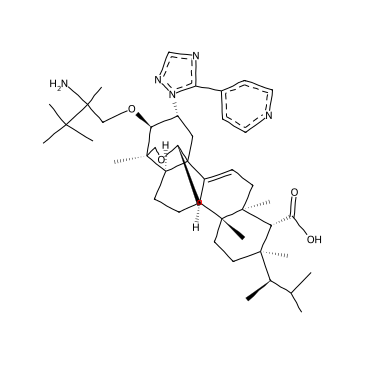 CC(C)[C@@H](C)[C@@]1(C)CC[C@]2(C)[C@H]3CC[C@@H]4C5(C[C@@H](n6ncnc6-c6ccncc6)[C@H](OCC(C)(N)C(C)(C)C)[C@@]4(C)CO[C@H]5C)C3=CC[C@@]2(C)[C@@H]1C(=O)O